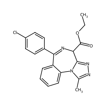 CCOC(=O)C1N=C(c2ccc(Cl)cc2)c2ccccc2-n2c(C)nnc21